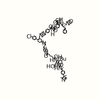 Cc1ncsc1-c1ccc([C@H](C)NC(=O)[C@@H]2C[C@@H](O)CN2C(=O)[C@@H](NC(O)CCCCC(=O)N2CCN(CCN(C)CC3(C)CCC(c4ccc(Cl)cc4)=C(CN4CCN(c5ccc(C(=O)NS(=O)(=O)c6ccc(N[C@H](CCN7CCOCC7)CSc7ccccc7)c(S(=O)(=O)C(F)(F)F)c6)cc5)CC4)C3)CC2)C(C)(C)C)cc1